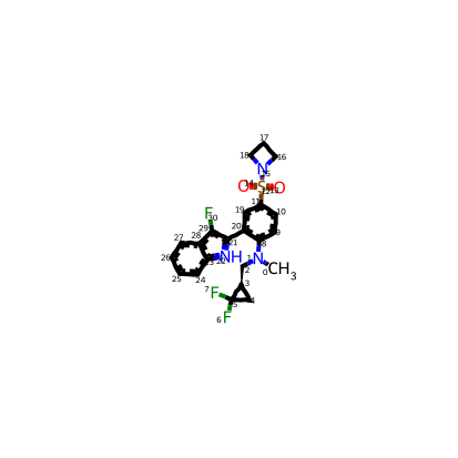 CN(C[C@H]1CC1(F)F)c1ccc(S(=O)(=O)N2CCC2)cc1-c1[nH]c2ccccc2c1F